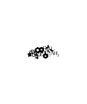 CCC(=O)N(Cc1ccccc1Oc1cccc2c1C[C@](NC(=O)OC(C)(C)C)(OC(=O)OC)CC2)NC(=O)[C@H](C)N